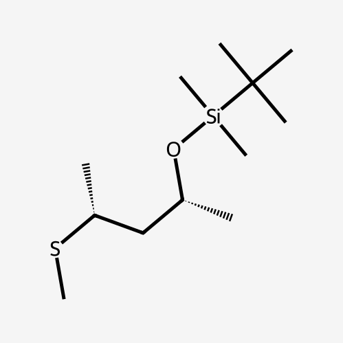 CS[C@H](C)C[C@@H](C)O[Si](C)(C)C(C)(C)C